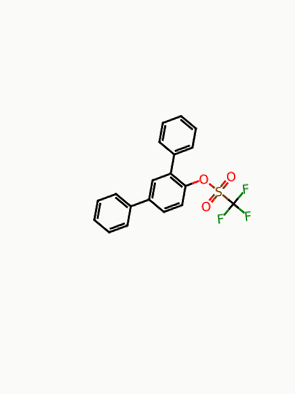 O=S(=O)(Oc1ccc(-c2ccccc2)cc1-c1ccccc1)C(F)(F)F